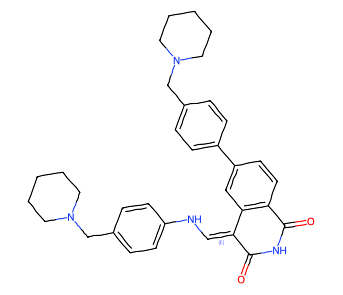 O=C1NC(=O)c2ccc(-c3ccc(CN4CCCCC4)cc3)cc2/C1=C\Nc1ccc(CN2CCCCC2)cc1